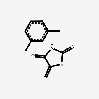 C=C1SC(=S)NC1=O.Cc1cccc(C)c1